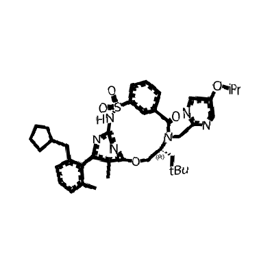 Cc1cccc(CC2CCCC2)c1-c1nc2nc(c1C)OC[C@@H](CC(C)(C)C)N(Cc1ncc(OC(C)C)cn1)C(=O)c1cccc(c1)S(=O)(=O)N2